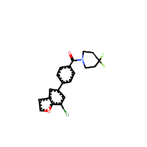 O=C(c1ccc(-c2cc(Cl)c3occc3c2)cc1)N1CCC(F)(F)CC1